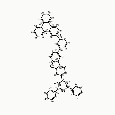 c1ccc(C2=NC(c3ccc4c(c3)oc3ccc(-c5cccc(-c6ccc7c8ccccc8c8ccccc8c7c6)c5)cc34)NC(c3ccccc3)=N2)cc1